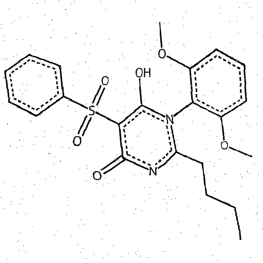 CCCCc1nc(=O)c(S(=O)(=O)c2ccccc2)c(O)n1-c1c(OC)cccc1OC